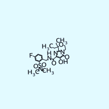 CCC1(CC)OCCn2c1nc(C(=O)NCc1ccc(F)cc1S(=O)(=O)N(C)C)c(O)c2=O